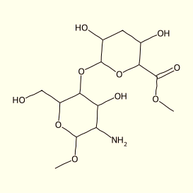 COC(=O)C1OC(OC2C(CO)OC(OC)C(N)C2O)C(O)CC1O